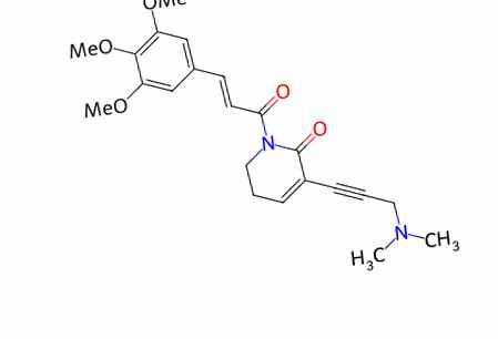 COc1cc(C=CC(=O)N2CCC=C(C#CCN(C)C)C2=O)cc(OC)c1OC